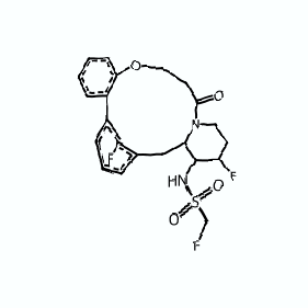 O=C1CCOc2ccccc2-c2cccc(c2F)CC2C(NS(=O)(=O)CF)C(F)CCN12